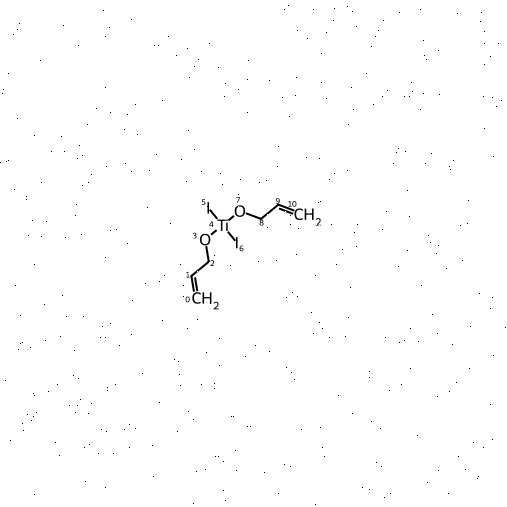 C=CC[O][Ti]([I])([I])[O]CC=C